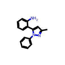 Cc1cc(-c2ccccc2N)n(-c2ccccc2)n1